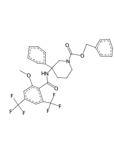 COc1cc(C(F)(F)F)cc(C(F)(F)F)c1C(=O)NC1(c2ccccc2)CCCN(C(=O)OCc2ccccc2)C1